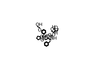 O=C(N[C@@H](Cc1ccccc1)[C@H](O)CN(OC1CCCC1)S(=O)(=O)c1cccc(OCCO)c1)OC1CO[C@H]2OCC[C@@H]12